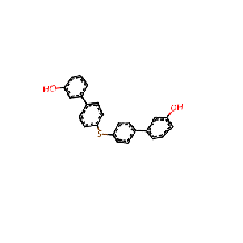 Oc1cccc(-c2ccc(Sc3ccc(-c4cccc(O)c4)cc3)cc2)c1